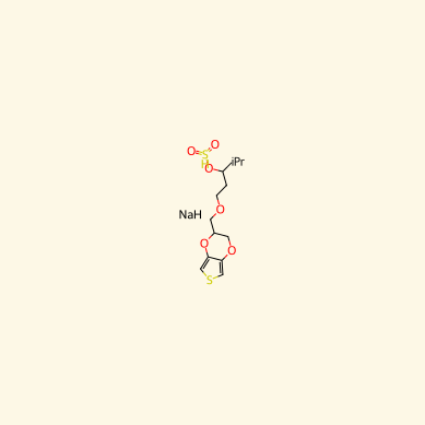 CC(C)C(CCOCC1COc2cscc2O1)O[SH](=O)=O.[NaH]